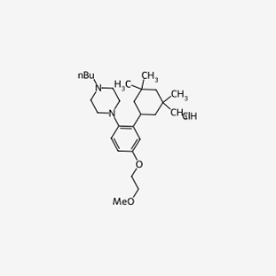 CCCCN1CCN(c2ccc(OCCOC)cc2C2CC(C)(C)CC(C)(C)C2)CC1.Cl